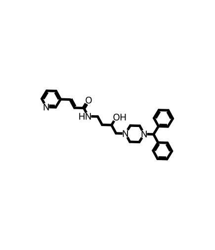 O=C(C=Cc1cccnc1)NCCC(O)CN1CCN(C(c2ccccc2)c2ccccc2)CC1